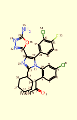 CNC(=O)Cc1ccc(Cl)cc1-n1c(C2CCCCC2)nc(-c2nnc(N)o2)c1-c1ccc(F)c(Cl)c1